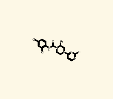 CC(C)C1CN(c2ccnc(Cl)n2)CCN1C(=O)Nc1ccc(Cl)cc1Cl